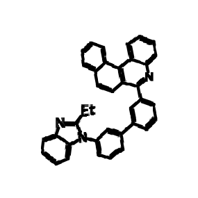 CCc1nc2ccccc2n1-c1cccc(-c2cccc(-c3nc4ccccc4c4c3ccc3ccccc34)c2)c1